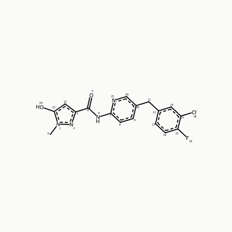 Cn1nc(C(=O)Nc2ccc(Cc3ccc(F)c(Cl)c3)cn2)cc1O